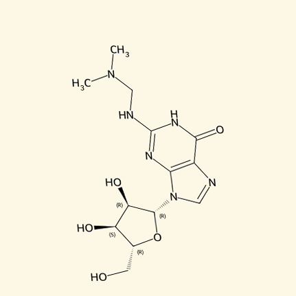 CN(C)CNc1nc2c(ncn2[C@@H]2O[C@H](CO)[C@@H](O)[C@H]2O)c(=O)[nH]1